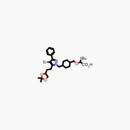 CC1(C)OCC(CCc2c(Br)c(-c3ccccc3)nn2CC2CCC(COC(C(=O)O)C(C)(C)C)CC2)O1